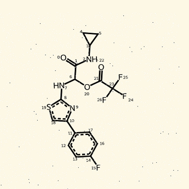 O=C(NC1CC1)C(Nc1nc(-c2ccc(F)cc2)cs1)OC(=O)C(F)(F)F